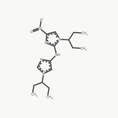 CCC(CC)n1cnc(Nc2nc([N+](=O)[O-])cn2C(CC)CC)c1